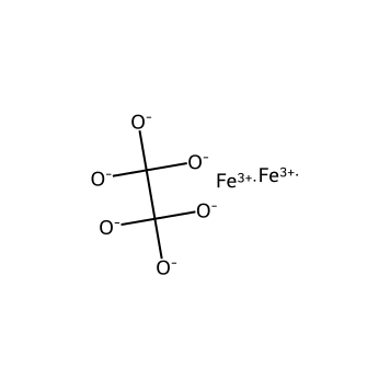 [Fe+3].[Fe+3].[O-]C([O-])([O-])C([O-])([O-])[O-]